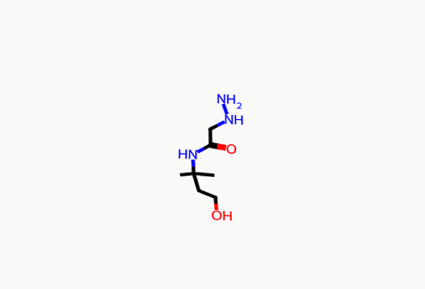 CC(C)(CCO)NC(=O)CNN